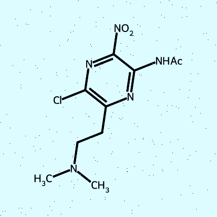 CC(=O)Nc1nc(CCN(C)C)c(Cl)nc1[N+](=O)[O-]